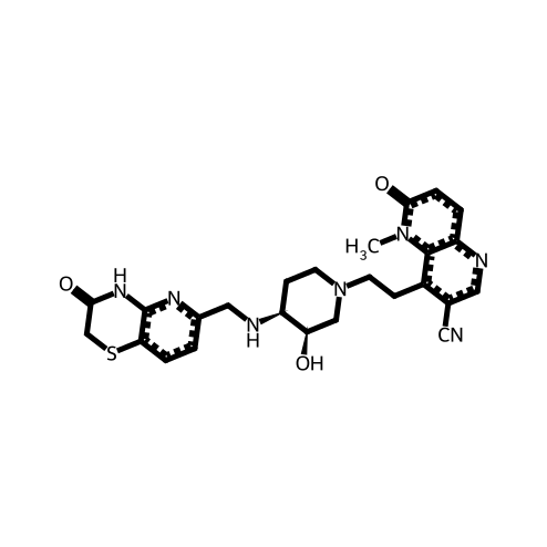 Cn1c(=O)ccc2ncc(C#N)c(CCN3CC[C@H](NCc4ccc5c(n4)NC(=O)CS5)[C@H](O)C3)c21